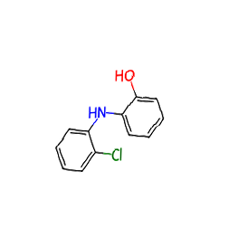 Oc1ccccc1Nc1ccccc1Cl